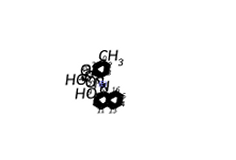 Cc1ccc(/N=N/c2c(O)ccc3ccccc23)c(S(=O)(=O)O)c1